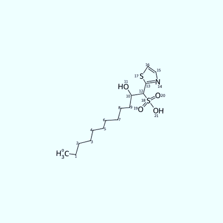 CCCCCCCCCCC(O)C(c1nccs1)S(=O)(=O)O